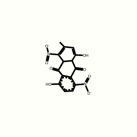 CC1=C([N+](=O)[O-])C2C(=O)c3c(O)ccc([N+](=O)[O-])c3C(=O)C2C(O)=C1